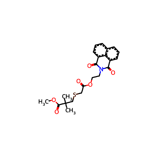 COC(=O)C(C)(C)CSCC(=O)OCCN1C(=O)c2cccc3cccc(c23)C1=O